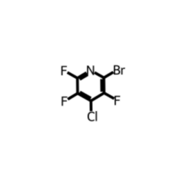 Fc1nc(Br)c(F)c(Cl)c1F